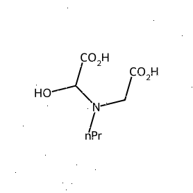 CCCN(CC(=O)O)C(O)C(=O)O